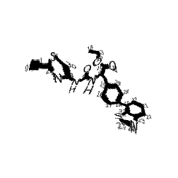 C#Cc1nc(NC(=O)NC(C(=O)OCC)c2ccc(-c3cccc4ncsc34)cc2)cs1